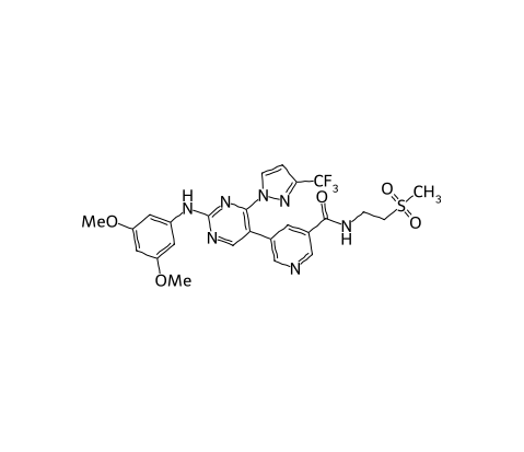 COc1cc(Nc2ncc(-c3cncc(C(=O)NCCS(C)(=O)=O)c3)c(-n3ccc(C(F)(F)F)n3)n2)cc(OC)c1